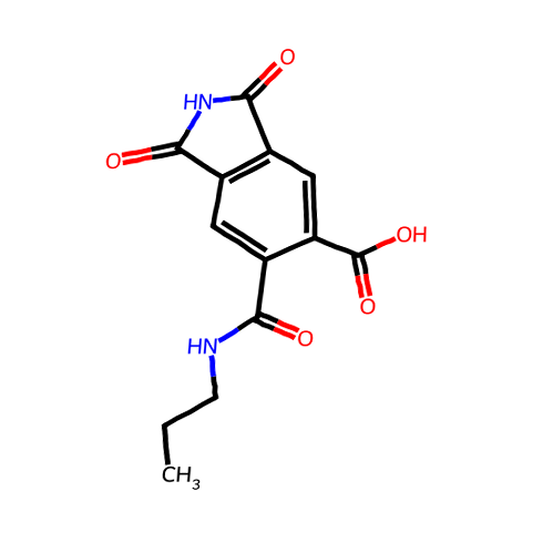 CCCNC(=O)c1cc2c(cc1C(=O)O)C(=O)NC2=O